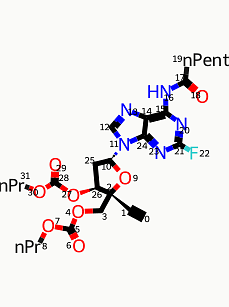 C#C[C@]1(COC(=O)OCCC)O[C@@H](n2cnc3c(NC(=O)CCCCC)nc(F)nc32)C[C@@H]1OC(=O)OCCC